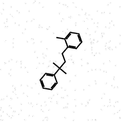 Cc1ccccc1CCC(C)(C)c1ccccc1